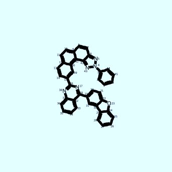 c1ccc(-n2nc3ccc4ccc5ccc(-c6nc(-c7ccc8oc9ccccc9c8c7)c7ccccc7n6)cc5c4c3n2)cc1